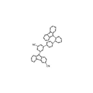 N#Cc1cc(-c2ccc(-c3ccccc3-n3c4ccccc4c4ccccc43)cc2)cc(-n2c3ccccc3c3cc(C#N)ccc32)c1